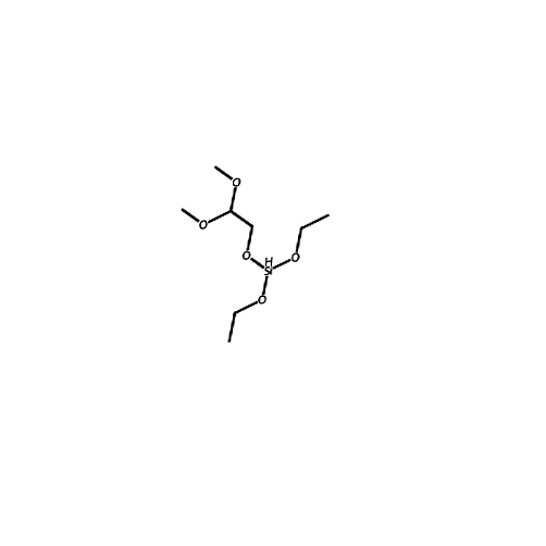 CCO[SiH](OCC)OCC(OC)OC